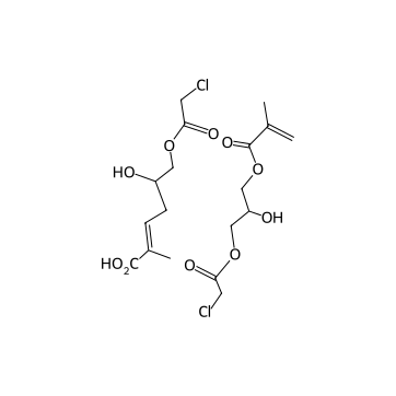 C=C(C)C(=O)OCC(O)COC(=O)CCl.CC(=CCC(O)COC(=O)CCl)C(=O)O